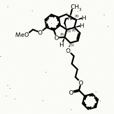 COCOc1ccc2c3c1O[C@H]1[C@@H](OCCCCOC(=O)c4ccccc4)C=C[C@H]4[C@@H](C2)N(C)CC[C@@]341